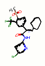 CS(=O)(=O)c1ccc(/C(=C\C2CCCCC2)C(=O)Nc2ccc(Br)cn2)cc1C(F)(F)F